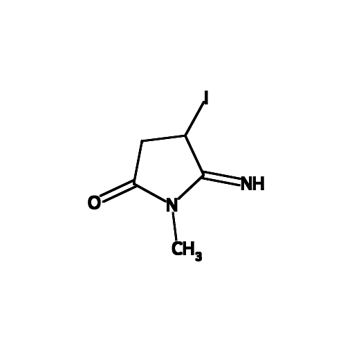 CN1C(=N)C(I)CC1=O